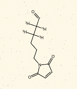 [3H]C([3H])([C]=O)C([3H])([3H])CCCN1C(=O)C=CC1=O